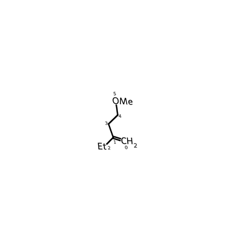 C=C(CC)CCOC